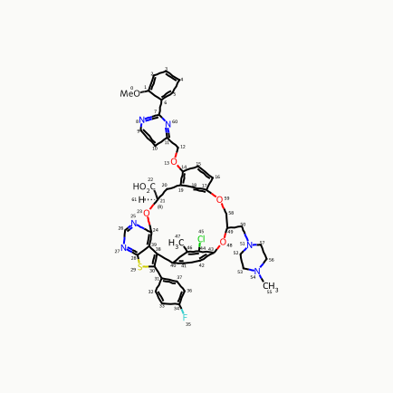 COc1ccccc1-c1nccc(COc2ccc3cc2C[C@H](C(=O)O)Oc2ncnc4sc(-c5ccc(F)cc5)c(c24)-c2ccc(c(Cl)c2C)OC(CN2CCN(C)CC2)CO3)n1